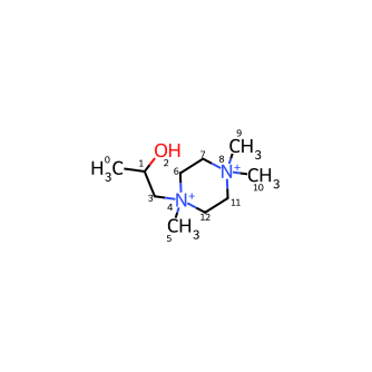 CC(O)C[N+]1(C)CC[N+](C)(C)CC1